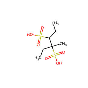 CCC(C(C)(CC)S(=O)(=O)O)S(=O)(=O)O